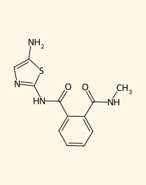 CNC(=O)c1ccccc1C(=O)Nc1ncc(N)s1